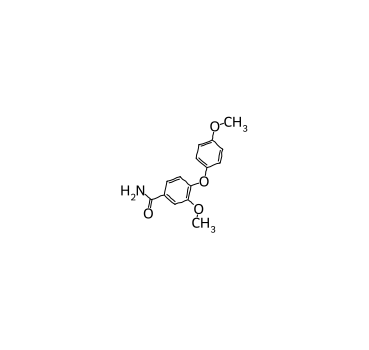 COc1ccc(Oc2ccc(C(N)=O)cc2OC)cc1